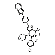 O=C(O)c1sc(-c2ccc(-c3cc4ncccn4n3)cc2)cc1N(C(=O)c1ccc(Cl)cc1F)C1CCOCC1